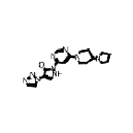 O=c1c(-n2ccnn2)c[nH]n1-c1cc(N2CCC(N3CCCC3)CC2)ncn1